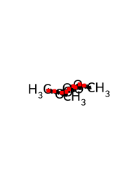 CCCCCCCOc1ccc(OC(=O)C2CCC(C3OCC(CCCCC)CO3)CC2)c(C)c1